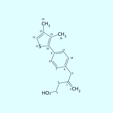 C=C(CCO)Cc1ccc(-c2scc(C)c2C)cc1